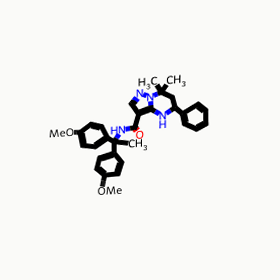 COc1ccc(C(C)(NC(=O)c2cnn3c2NC(c2ccccc2)CC3(C)C)c2ccc(OC)cc2)cc1